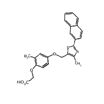 Cc1cc(OCc2sc(-c3ccc4ccccc4c3)nc2C)ccc1OCC(=O)O